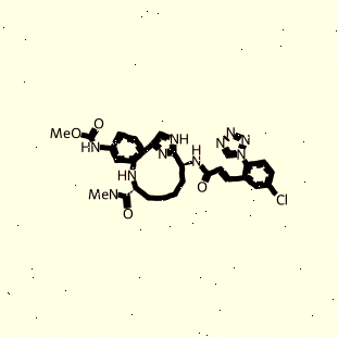 CNC(=O)[C@H]1CCCC[C@H](NC(=O)C=Cc2cc(Cl)ccc2-n2cnnn2)c2nc(c[nH]2)-c2ccc(NC(=O)OC)cc2N1